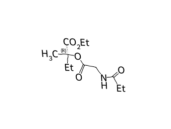 CCOC(=O)[C@@](C)(CC)OC(=O)CNC(=O)CC